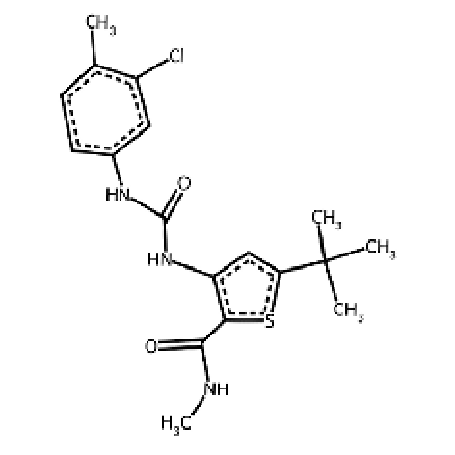 CNC(=O)c1sc(C(C)(C)C)cc1NC(=O)Nc1ccc(C)c(Cl)c1